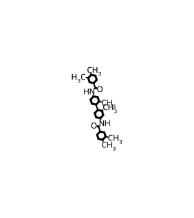 Cc1ccc(C(=O)Nc2ccc(-c3ccc(NC(=O)c4ccc(C)c(C)c4)cc3C)c(C)c2)cc1C